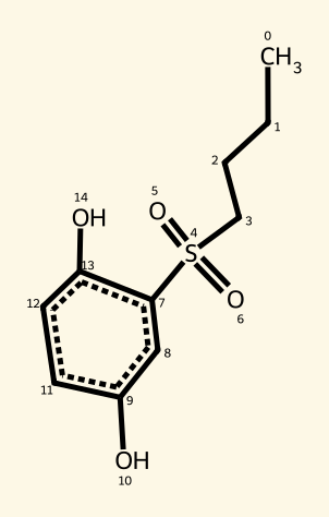 CCCCS(=O)(=O)c1cc(O)ccc1O